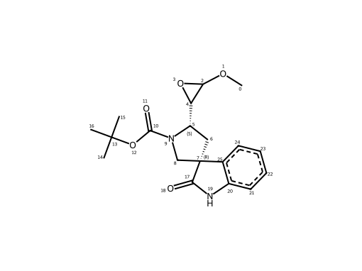 COC1OC1[C@@H]1C[C@@]2(CN1C(=O)OC(C)(C)C)C(=O)Nc1ccccc12